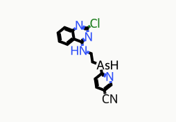 N#Cc1ccc([AsH]CCNc2nc(Cl)nc3ccccc23)nc1